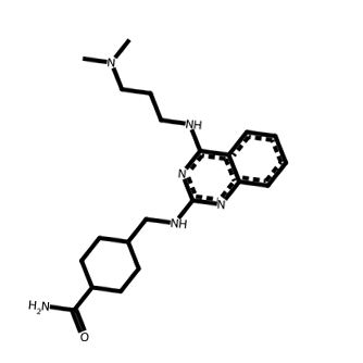 CN(C)CCCNc1nc(NCC2CCC(C(N)=O)CC2)nc2ccccc12